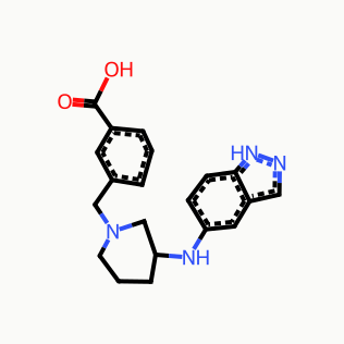 O=C(O)c1cccc(CN2CCCC(Nc3ccc4[nH]ncc4c3)C2)c1